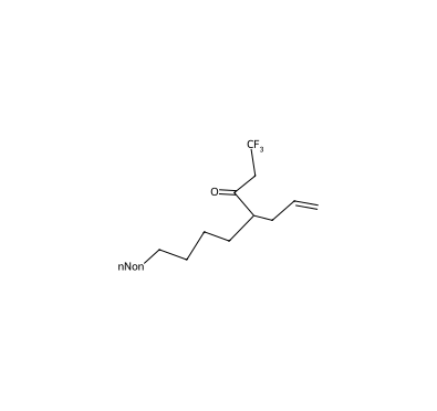 C=CCC(CCCCCCCCCCCCC)C(=O)CC(F)(F)F